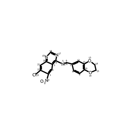 O=[N+]([O-])c1cc2c(NCc3ccc4c(c3)OCCO4)ncnc2cc1Cl